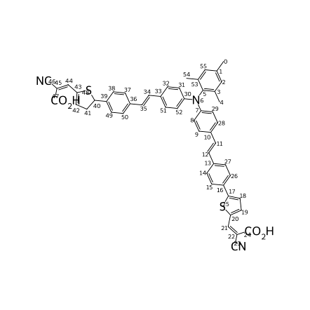 Cc1cc(C)c(N(c2ccc(/C=C/c3ccc(-c4ccc(/C=C(/C#N)C(=O)O)s4)cc3)cc2)c2ccc(/C=C/c3ccc(C4CC=C(/C=C(/C#N)C(=O)O)S4)cc3)cc2)c(C)c1